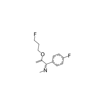 C=C(OCCCF)/C(=N\C)c1ccc(F)cc1